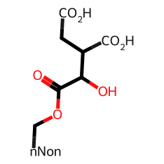 CCCCCCCCCCOC(=O)C(O)C(CC(=O)O)C(=O)O